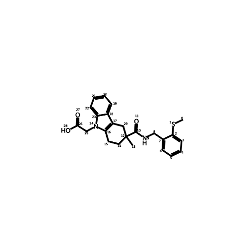 CSc1ccccc1CNC(=O)C1(C)CCc2c(c3ccccc3n2CC(=O)O)C1